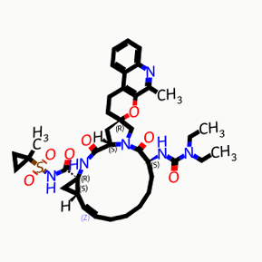 CCN(CC)C(=O)N[C@H]1CCCCC/C=C\[C@@H]2C[C@@]2(C(=O)NS(=O)(=O)C2(C)CC2)NC(=O)[C@@H]2C[C@]3(CCc4c(c(C)nc5ccccc45)O3)CN2C1=O